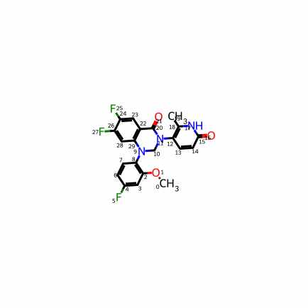 COc1cc(F)ccc1N1CN(c2ccc(=O)[nH]c2C)C(=O)c2cc(F)c(F)cc21